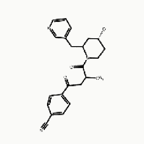 CC(CC(=O)c1ccc(C#N)cc1)C(=O)N1CC[C@@H]([O])CC1Cc1cccnc1